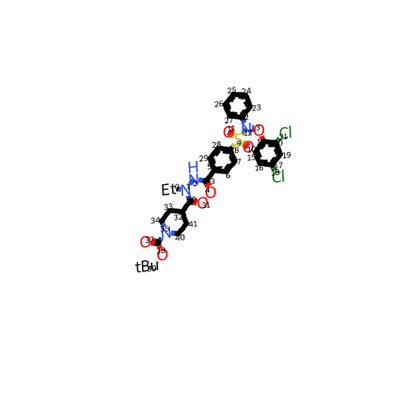 CCN(NC(=O)c1ccc(S(=O)(=O)N(Oc2ccc(Cl)cc2Cl)c2ccccc2)cc1)C(=O)C1CCN(C(=O)OC(C)(C)C)CC1